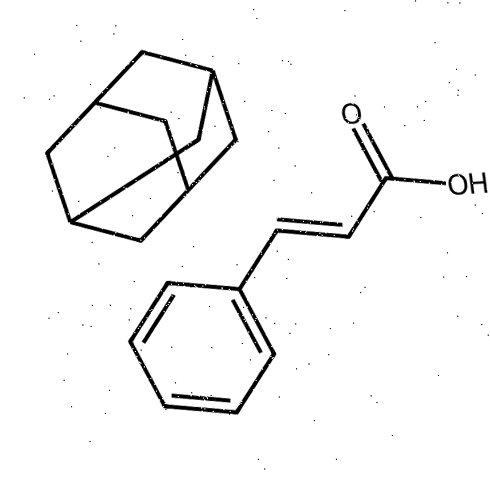 C1C2CC3CC1CC(C2)C3.O=C(O)C=Cc1ccccc1